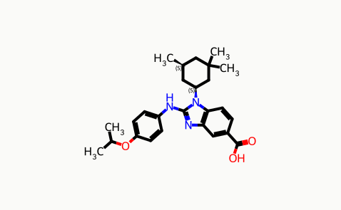 CC(C)Oc1ccc(Nc2nc3cc(C(=O)O)ccc3n2[C@H]2C[C@@H](C)CC(C)(C)C2)cc1